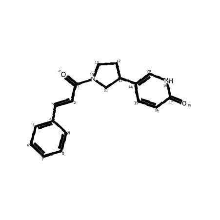 O=C(/C=C/c1ccccc1)N1CCC(c2ccc(=O)[nH]c2)C1